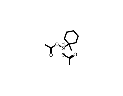 CC(=O)O[SiH](OC(C)=O)C1(C)CCCCC1